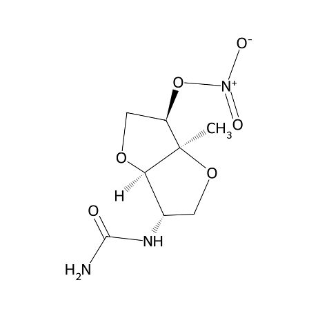 C[C@]12OC[C@H](NC(N)=O)[C@H]1OC[C@H]2O[N+](=O)[O-]